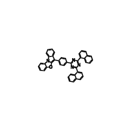 c1ccc2c(-c3nc(-c4ccc(-c5c6ccccc6n6c5oc5ccccc56)cc4)nc(-c4cccc5ccccc45)n3)cccc2c1